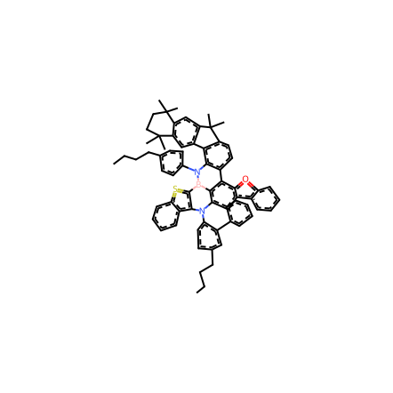 CCCCc1ccc(N2B3c4sc5ccccc5c4N(c4ccc(CCCC)cc4-c4ccccc4)c4cc5c(oc6ccccc65)c(c43)-c3ccc4c(c32)-c2cc3c(cc2C4(C)C)C(C)(C)CCC3(C)C)cc1